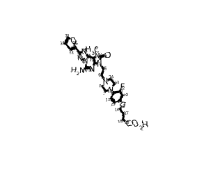 Cn1c(=O)n(CCN2CCN(c3ccc(OCCCC(=O)O)cc3F)CC2)c2nc(N)n3nc(-c4ccco4)nc3c21